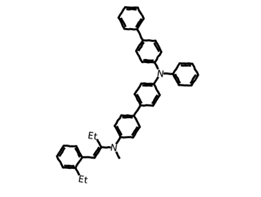 CC/C(=C\c1ccccc1CC)N(C)c1ccc(-c2ccc(N(c3ccccc3)c3ccc(-c4ccccc4)cc3)cc2)cc1